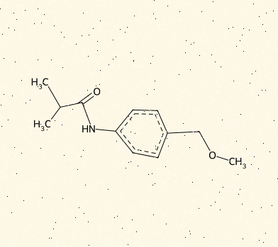 COCc1ccc(NC(=O)C(C)C)cc1